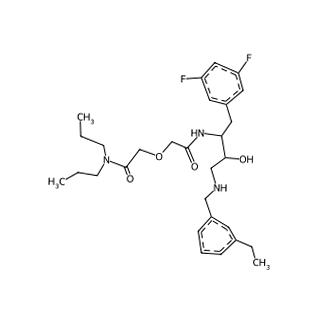 CCCN(CCC)C(=O)COCC(=O)NC(Cc1cc(F)cc(F)c1)C(O)CNCc1cccc(CC)c1